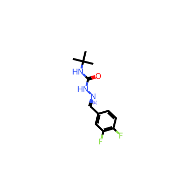 CC(C)(C)NC(=O)N/N=C/c1ccc(F)c(F)c1